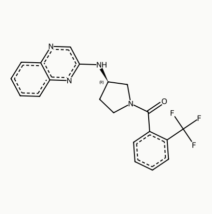 O=C(c1ccccc1C(F)(F)F)N1CC[C@@H](Nc2cnc3ccccc3n2)C1